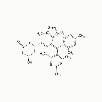 Cc1cc(C)c(C(=C(/C=C/[C@@H]2C[C@@H](O)CC(=O)O2)c2nnnn2C)c2c(C)cc(C)cc2C)c(C)c1